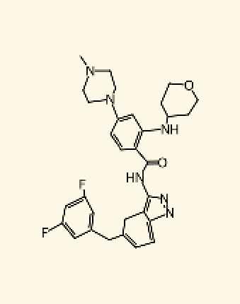 CN1CCN(c2ccc(C(=O)NC3=C4CC(Cc5cc(F)cc(F)c5)=CC=C4N=N3)c(NC3CCOCC3)c2)CC1